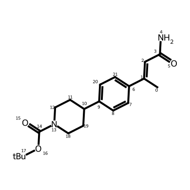 CC(=CC(N)=O)c1ccc(C2CCN(C(=O)OC(C)(C)C)CC2)cc1